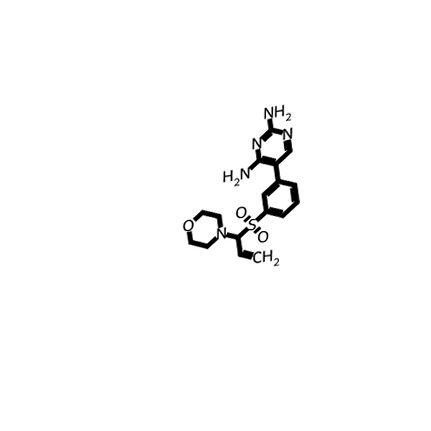 C=CC(N1CCOCC1)S(=O)(=O)c1cccc(-c2cnc(N)nc2N)c1